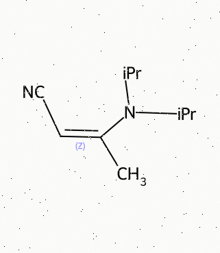 C/C(=C/C#N)N(C(C)C)C(C)C